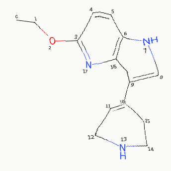 CCOc1ccc2[nH]cc(C3=CCNCC3)c2n1